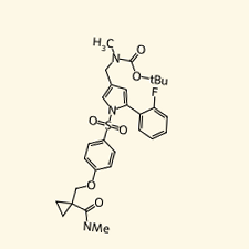 CNC(=O)C1(COc2ccc(S(=O)(=O)n3cc(CN(C)C(=O)OC(C)(C)C)cc3-c3ccccc3F)cc2)CC1